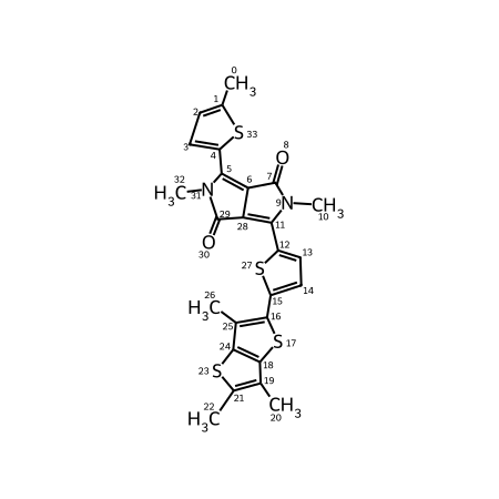 Cc1ccc(C2=C3C(=O)N(C)C(c4ccc(-c5sc6c(C)c(C)sc6c5C)s4)=C3C(=O)N2C)s1